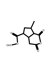 CC1CC(C(=O)OC=O)C2CC(=O)OC(=O)C12